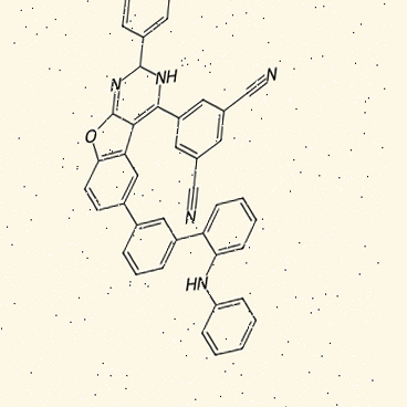 N#Cc1cc(C#N)cc(C2=c3c(oc4ccc(-c5cccc(-c6ccccc6Nc6ccccc6)c5)cc34)=NC(c3ccccc3)N2)c1